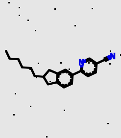 CCCCCCC1Cc2ccc(-c3ccc(C#N)cn3)cc2C1